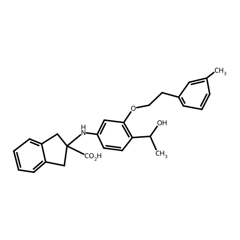 Cc1cccc(CCOc2cc(NC3(C(=O)O)Cc4ccccc4C3)ccc2C(C)O)c1